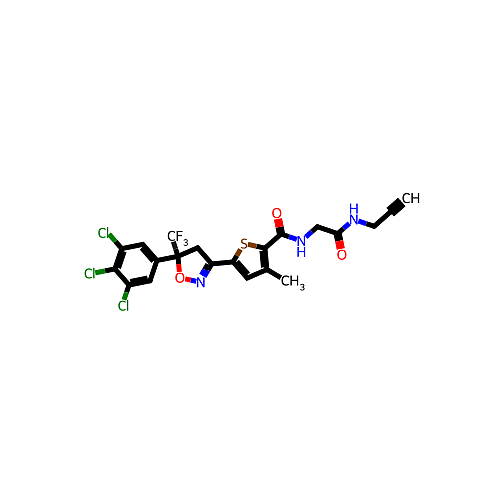 C#CCNC(=O)CNC(=O)c1sc(C2=NOC(c3cc(Cl)c(Cl)c(Cl)c3)(C(F)(F)F)C2)cc1C